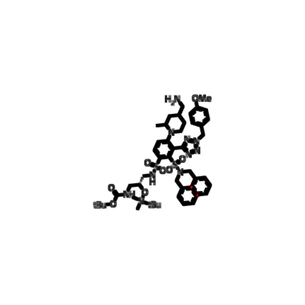 COc1ccc(Cn2nnc(-c3c(N4CCC(CN)CC4C)ccc(S(=O)(=O)NC[C@@H](CNC(=O)OC(C)(C)C)O[Si](C)(C)C(C)(C)C)c3S(=O)(=O)N(Cc3ccccc3)Cc3ccccc3)n2)cc1